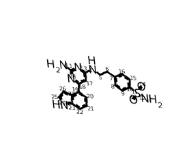 Nc1nc(NCCc2ccc(S(N)(=O)=O)cc2)cc(-c2cccc3[nH]ccc23)n1